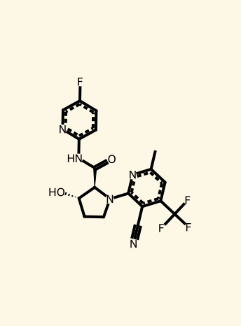 Cc1cc(C(F)(F)F)c(C#N)c(N2CC[C@H](O)[C@H]2C(=O)Nc2ccc(F)cn2)n1